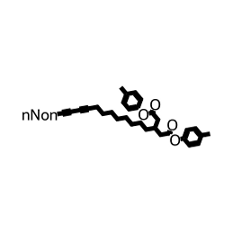 CCCCCCCCCC#CC#CCCCCCCCCC(CC(=O)Oc1ccc(C)cc1)CC(=O)Oc1ccc(C)cc1